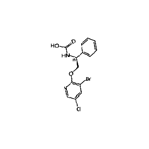 O=C(O)N[C@H](COc1ncc(Cl)cc1Br)c1ccccc1